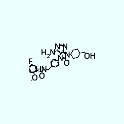 COc1ccc(F)cc1C(=O)NCc1ccc(-n2c(=O)n(C3CCC(CO)CC3)c3ncnc(N)c32)cc1